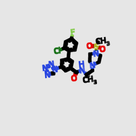 C[C@H](CN1CCN(S(C)(=O)=O)CC1)NC(=O)c1cc(-c2ccc(F)cc2Cl)cc(-n2cnnn2)c1